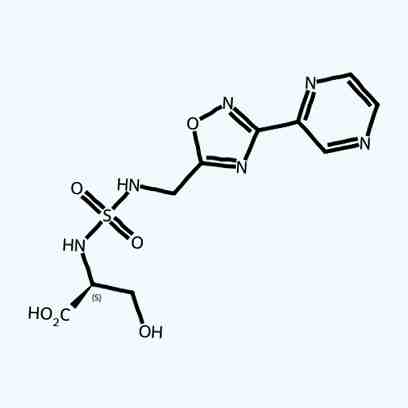 O=C(O)[C@H](CO)NS(=O)(=O)NCc1nc(-c2cnccn2)no1